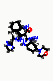 CCC(Nc1c(-c2nc3ccc(N4CCOCC4)cc3[nH]2)c(=O)[nH]c2ccccc12)c1ncccn1